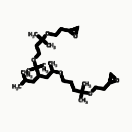 CC(C)CC(CC(C)OCCCC(C)(C)OCCC1CO1)C(C)(C)OCCC(C)(C)OCCC1CO1